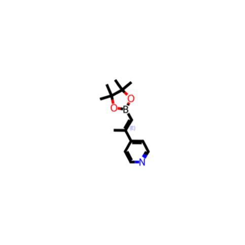 C/C(=C\B1OC(C)(C)C(C)(C)O1)c1ccncc1